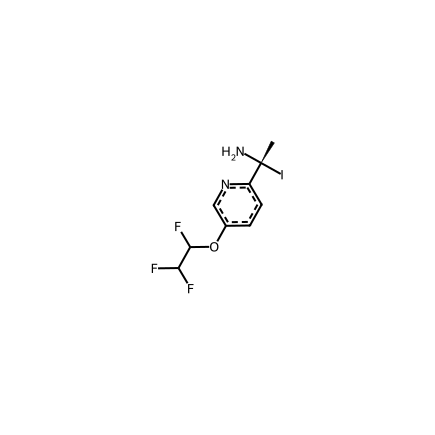 C[C@@](N)(I)c1ccc(OC(F)C(F)F)cn1